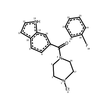 CCN1CCN(C(=O)c2ccc3cc[nH]c3c2)CC1.Fc1ccccc1